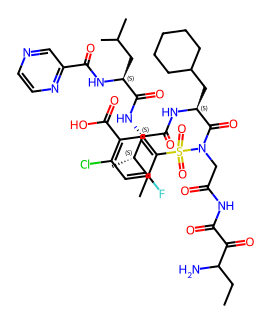 CCC(N)C(=O)C(=O)NC(=O)CN(C(=O)[C@H](CC1CCCCC1)NC(=O)[C@@H](NC(=O)[C@H](CC(C)C)NC(=O)c1cnccn1)[C@@H](C)CC)S(=O)(=O)c1cc(C(=O)O)c(Cl)cc1F